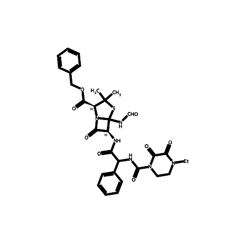 CCN1CCN(C(=O)NC(C(=O)N[C@H]2C(=O)N3[C@@H](C(=O)OCc4ccccc4)C(C)(C)SC23NC=O)c2ccccc2)C(=O)C1=O